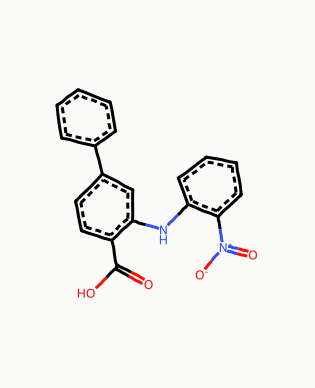 O=C(O)c1ccc(-c2ccccc2)cc1Nc1ccccc1[N+](=O)[O-]